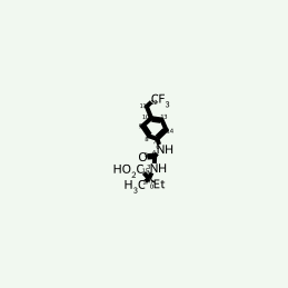 CC[C@@](C)(NC(=O)Nc1ccc(CC(F)(F)F)cc1)C(=O)O